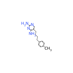 Cc1ccc(CCCCc2cnc(N)nc2N)cc1